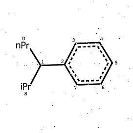 CCCC(c1ccccc1)C(C)C